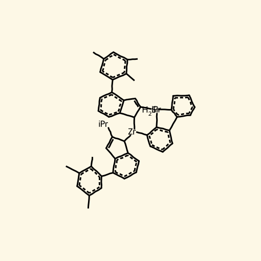 Cc1cc(C)c(C)c(-c2cccc3c2C=C(C(C)C)[CH]3[Zr]([c]2cccc3c2[SiH2]c2ccccc2-3)[CH]2C(C(C)C)=Cc3c(-c4cc(C)cc(C)c4C)cccc32)c1